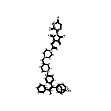 C=C1C(=O)N(C2CCC(=O)NC2=O)C(=O)/C1=C/C(=C)N1CCN(CC2CCN(c3ccc(/C(C4=C5CCCC(=C4)C(O)C5)=C(/C)c4ccccc4)cc3)CC2)CC1